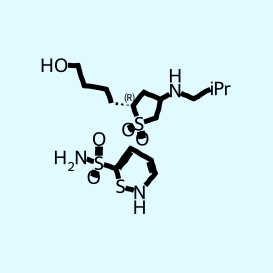 CC(C)CNC1C[C@@H](CCCCO)S(=O)(=O)C1.NS(=O)(=O)C1=CC=CNS1